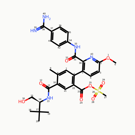 COc1ccc(-c2cc(C)c(C(=O)N[C@H](CO)C(C)(C)C)cc2C(=O)OS(C)(=O)=O)c(C(=O)Nc2ccc(C(=N)N)cc2)n1